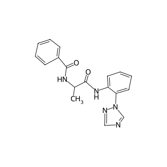 CC(NC(=O)c1ccccc1)C(=O)Nc1ccccc1-n1cncn1